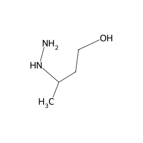 CC(CCO)NN